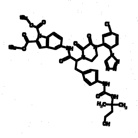 CC(C)(CCO)NC(=O)Nc1ccc(CC(C(=O)Nc2ccc3c(c2)cc(C(=O)OC(C)(C)C)n3C(=O)OC(C)(C)C)N2CCN(c3cc(Cl)ccc3-n3cnnn3)C(=O)C2=O)cc1